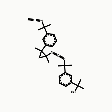 C=C=NC(C)(C)c1cccc(C2(C)CC2(C)N=C=NC(C)(C)c2cccc(C(C)(C)C(C)CC)c2)c1